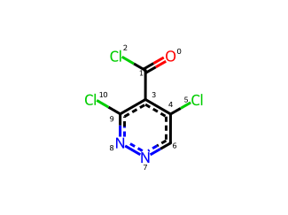 O=C(Cl)c1c(Cl)cnnc1Cl